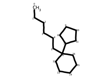 CCCCCCC1(C2CCCC2)CCCCC1